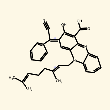 CC(C)=CCC/C(C)=C/CN1c2ccccc2N=c2c1c/c(=C(/C#N)c1ccccc1)c(O)c2C(=O)O